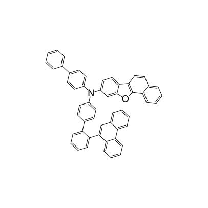 c1ccc(-c2ccc(N(c3ccc(-c4ccccc4-c4cc5ccccc5c5ccccc45)cc3)c3ccc4c(c3)oc3c5ccccc5ccc43)cc2)cc1